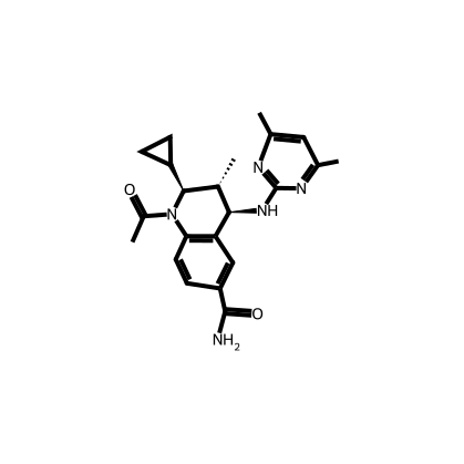 CC(=O)N1c2ccc(C(N)=O)cc2[C@H](Nc2nc(C)cc(C)n2)[C@@H](C)[C@@H]1C1CC1